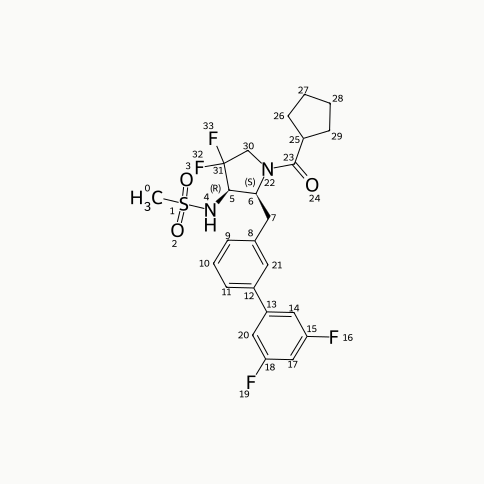 CS(=O)(=O)N[C@@H]1[C@H](Cc2cccc(-c3cc(F)cc(F)c3)c2)N(C(=O)C2CCCC2)CC1(F)F